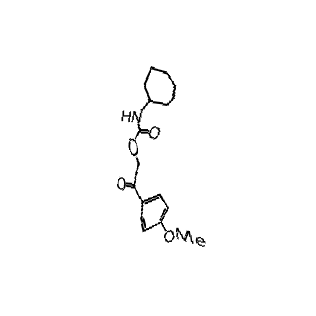 COc1ccc(C(=O)COC(=O)NC2CCCCC2)cc1